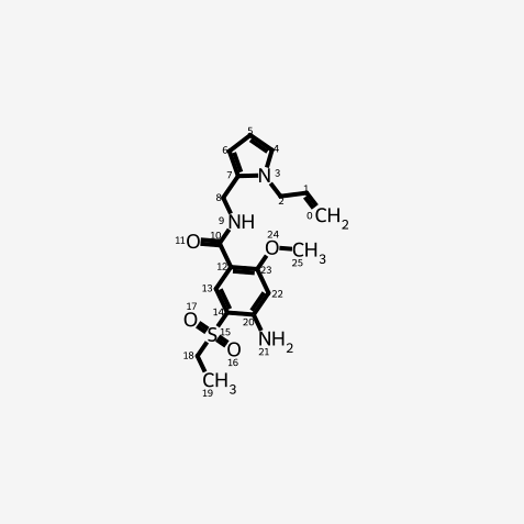 C=CCn1cccc1CNC(=O)c1cc(S(=O)(=O)CC)c(N)cc1OC